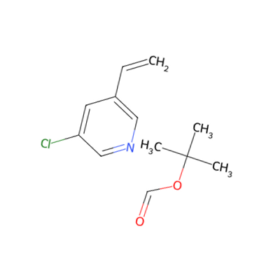 C=Cc1cncc(Cl)c1.CC(C)(C)OC=O